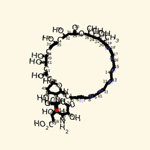 CC1OC(O[C@H]2/C=C/C=C/C=C/C=C/C=C/C=C/C=C/[C@H](C)[C@@H](O)[C@@H](C)[C@H](C)OC(=O)C[C@H](O)C[C@H](O)CC[C@@H](O)[C@H](O)C[C@H](O)CC3(O)C[C@H](O)[C@@H](NC(=O)NCCC(=O)O)[C@H](C2)O3)C(O)C(N)C1O